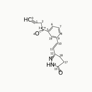 C#CC[S+]([O-])c1cccc(C=CC2=NNC(=O)CC2)c1